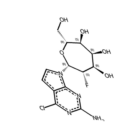 Nc1nc(Cl)c2ccn([C@@H]3O[C@H](CO)[C@@H](O)[C@@H](O)[C@@H](O)[C@@H]3F)c2n1